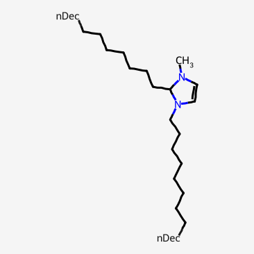 CCCCCCCCCCCCCCCCCCN1C=CN(C)C1CCCCCCCCCCCCCCCCC